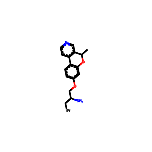 CC(C)C[C@H](N)COc1ccc2c(c1)OC(C)c1cnccc1-2